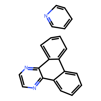 c1ccc2c(c1)c1ccccc1c1nccnc21.c1ccncc1